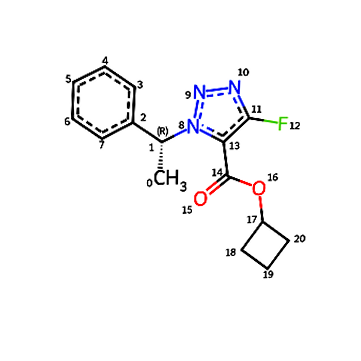 C[C@H](c1ccccc1)n1nnc(F)c1C(=O)OC1CCC1